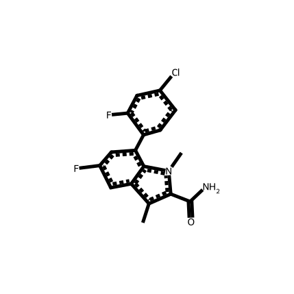 Cc1c(C(N)=O)n(C)c2c(-c3ccc(Cl)cc3F)cc(F)cc12